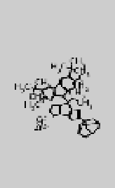 Cc1cc2c(cc1C(C)(C)C)-c1cc(C(C)(C)C)c(C)cc1C2C1(C(C)C)C2=C(CC(C34CC5CC(CC(C5)C3)C4)=C2)C2CCCC21.[Cl-].[Cl-].[Zr+2]